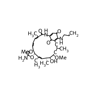 C=CCNC1=C2C[C@@H](C)C[C@@H](OC)[C@@H](O)[C@H](C)C=C(C)[C@H](OC(N)=O)[C@H](OC)C=CC=C(C)C(=O)NC(=CC1=O)C2=O